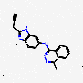 C#CCc1nc2ccc(Nc3nnc(C)c4ccccc34)cc2[nH]1